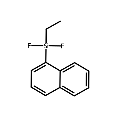 CC[Si](F)(F)c1cccc2ccccc12